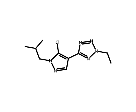 CCn1nnc(-c2cnn(CC(C)C)c2Cl)n1